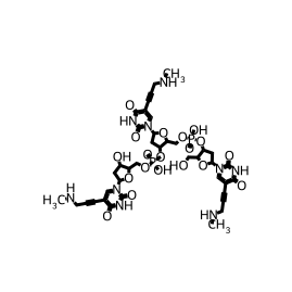 CNCC#Cc1cn(C2CC(O)C(COP(=O)(O)OC3CC(n4cc(C#CCNC)c(=O)[nH]c4=O)OC3COP(=O)(O)OC3CC(n4cc(C#CCNC)c(=O)[nH]c4=O)OC3CO)O2)c(=O)[nH]c1=O